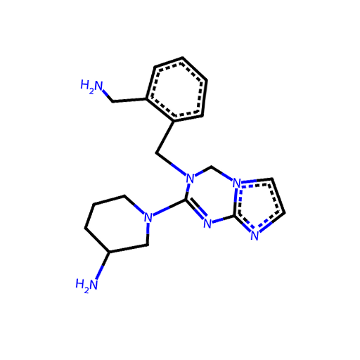 NCc1ccccc1CN1Cn2ccnc2N=C1N1CCCC(N)C1